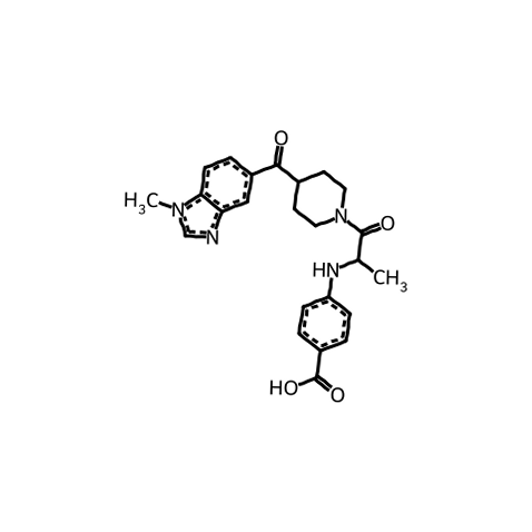 CC(Nc1ccc(C(=O)O)cc1)C(=O)N1CCC(C(=O)c2ccc3c(c2)ncn3C)CC1